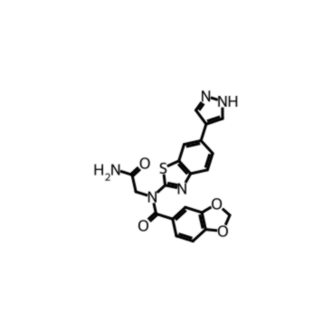 NC(=O)CN(C(=O)c1ccc2c(c1)OCO2)c1nc2ccc(-c3cn[nH]c3)cc2s1